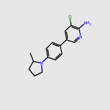 CC1CCCN1c1ccc(-c2cnc(N)c(Cl)c2)cc1